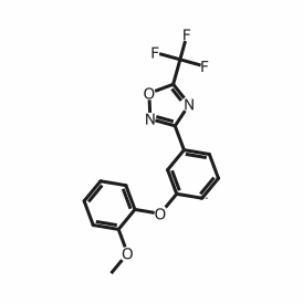 COc1ccccc1Oc1[c]ccc(-c2noc(C(F)(F)F)n2)c1